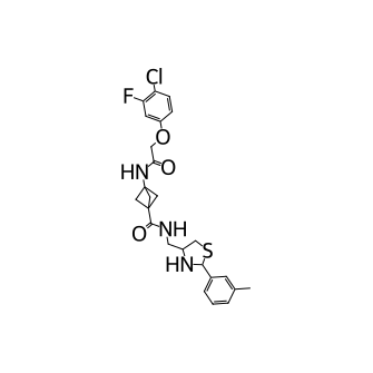 Cc1cccc(C2NC(CNC(=O)C34CC(NC(=O)COc5ccc(Cl)c(F)c5)(C3)C4)CS2)c1